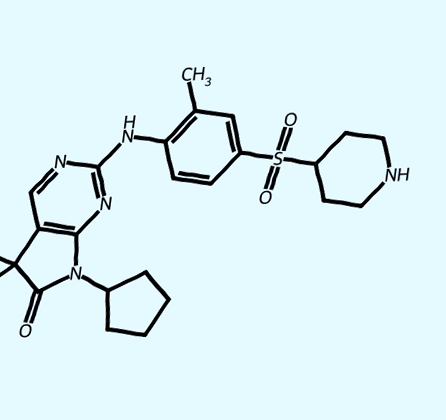 Cc1cc(S(=O)(=O)C2CCNCC2)ccc1Nc1ncc2c(n1)N(C1CCCC1)C(=O)C21CC1